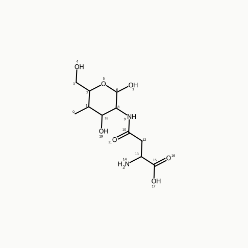 CC1C(CO)OC(O)C(NC(=O)CC(N)C(=O)O)C1O